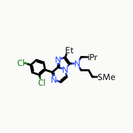 CCc1nc2c(-c3ccc(Cl)cc3Cl)nccn2c1N(CCCSC)CC(C)C